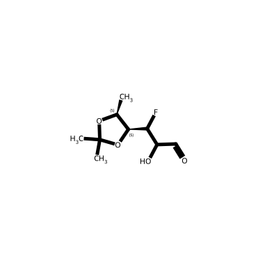 C[C@@H]1OC(C)(C)O[C@@H]1C(F)C(O)C=O